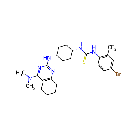 CN(C)c1nc(N[C@H]2CC[C@@H](NC(=S)Nc3ccc(Br)cc3C(F)(F)F)CC2)nc2c1CCCC2